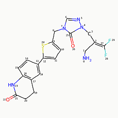 NCC(Cn1ncn(Cc2ccc(-c3ccc4c(c3)CCC(=O)N4)s2)c1=O)=C(F)F